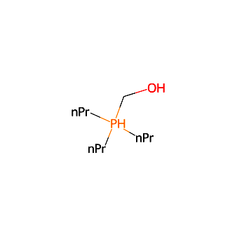 CCC[PH](CO)(CCC)CCC